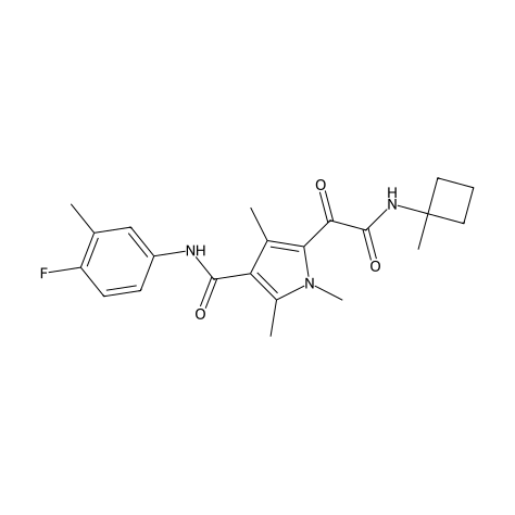 Cc1cc(NC(=O)c2c(C)c(C(=O)C(=O)NC3(C)CCC3)n(C)c2C)ccc1F